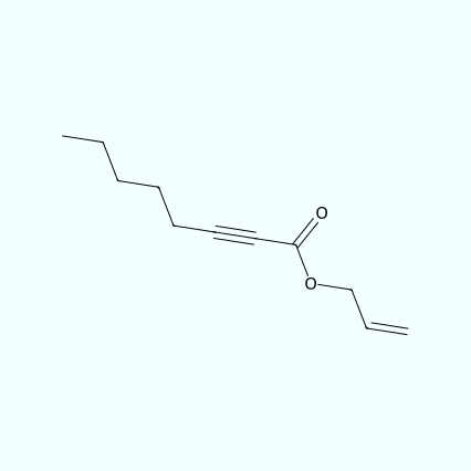 C=CCOC(=O)C#CCCCCC